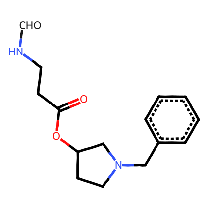 O=CNCCC(=O)OC1CCN(Cc2ccccc2)C1